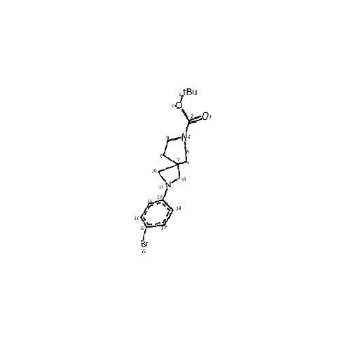 CC(C)(C)OC(=O)N1CCC2(CC1)CN(c1ccc(Br)cc1)C2